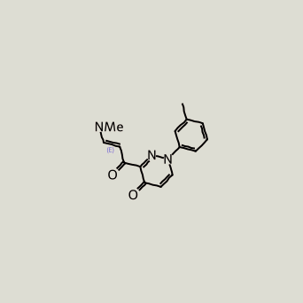 CN/C=C/C(=O)c1nn(-c2cccc(C)c2)ccc1=O